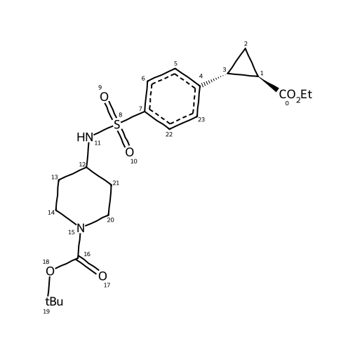 CCOC(=O)[C@@H]1C[C@H]1c1ccc(S(=O)(=O)NC2CCN(C(=O)OC(C)(C)C)CC2)cc1